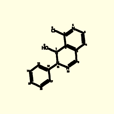 OB1c2c(ccnc2Cl)C=NN1c1ccccc1